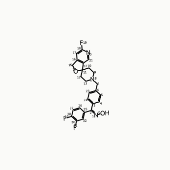 O/N=C(\c1ccc(CN2CCC3(CC2)OCc2cc(F)ncc23)cc1)c1ccc(F)c(F)c1